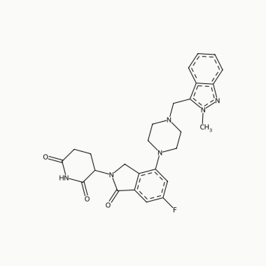 Cn1nc2ccccc2c1CN1CCN(c2cc(F)cc3c2CN(C2CCC(=O)NC2=O)C3=O)CC1